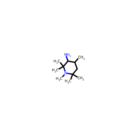 CC1CC(C)(C)N(C)C(C)(C)C1N